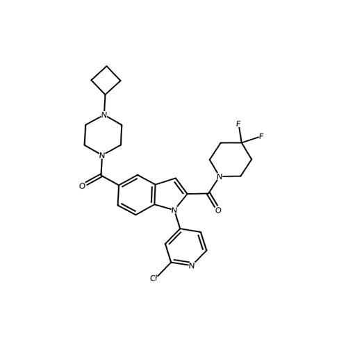 O=C(c1ccc2c(c1)cc(C(=O)N1CCC(F)(F)CC1)n2-c1ccnc(Cl)c1)N1CCN(C2CCC2)CC1